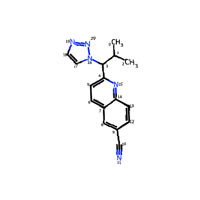 CC(C)C(c1ccc2cc(C#N)ccc2n1)n1ccnn1